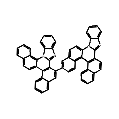 c1ccc2c(c1)cc(-c1ccc3c(ccc4c3c3c5ccccc5ccc3c3nc5ccccc5n43)c1)c1c2c2ccc3ccccc3c2n2c3ccccc3nc12